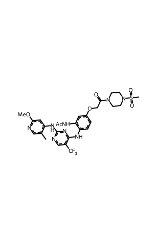 COc1cc(Nc2ncc(C(F)(F)F)c(Nc3ccc(OCC(=O)N4CCN(S(C)(=O)=O)CC4)cc3NC(C)=O)n2)c(C)cn1